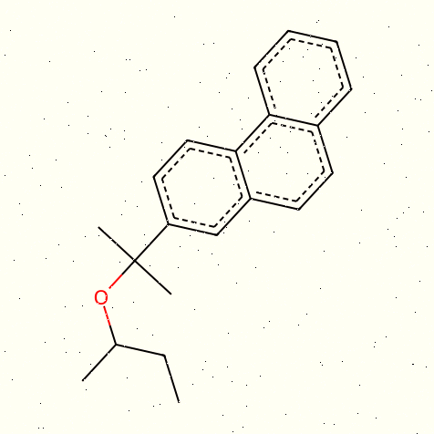 CCC(C)OC(C)(C)c1ccc2c(ccc3ccccc32)c1